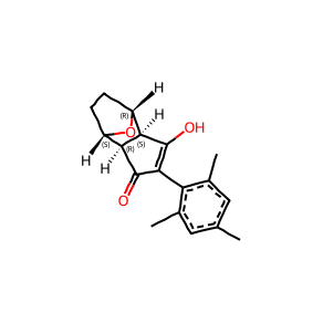 Cc1cc(C)c(C2=C(O)[C@H]3[C@@H](C2=O)[C@@H]2CC[C@H]3O2)c(C)c1